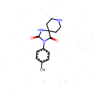 N#Cc1ccc(N2C(=O)NC3(CCNCC3)C2=O)cc1